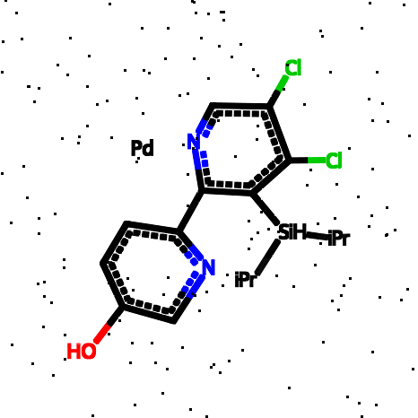 CC(C)[SiH](c1c(-c2ccc(O)cn2)ncc(Cl)c1Cl)C(C)C.[Pd]